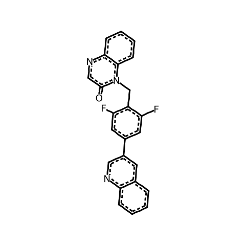 O=c1cnc2ccccc2n1Cc1c(F)cc(-c2cnc3ccccc3c2)cc1F